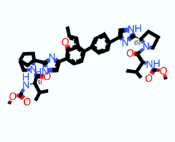 COC(=O)NC(C(=O)N1CCC[C@H]1c1nc(-c2ccc(-c3ccc(-c4c[nH]c(C56CCC(CN5C(=O)[C@@H](NC(=O)OC)C(C)C)C6)n4)c4oc(C)cc34)cc2)c[nH]1)C(C)C